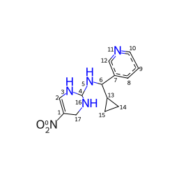 O=[N+]([O-])C1=CNC(NC(c2cccnc2)C2CC2)NC1